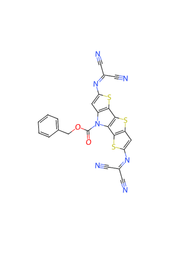 N#CC(C#N)=Nc1cc2c(s1)c1sc3cc(N=C(C#N)C#N)sc3c1n2C(=O)OCc1ccccc1